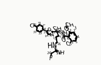 COc1cccc(Cl)c1C(=O)N[C@](C)(CCCNC(=N)CF)c1ncc(-c2ccc(Cl)cc2)o1